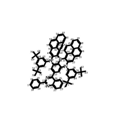 CC(C)(C)c1cc(N2c3cc(-c4nc(-c5ccccc5)nc5ccccc45)cc4c3B(c3c2cc2ccc5cccc6ccc3c2c56)c2c(cc3ccc5cccc6ccc2c3c56)N4c2cc(C(C)(C)C)cc(C(C)(C)C)c2)cc(C(C)(C)C)c1